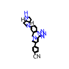 N#Cc1ccc(-c2cc3n(c2)Cc2cc(N4CC[C@H]5NCC[C@@H]54)ccc2-n2nnnc2-3)cc1